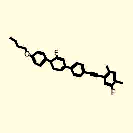 CCCCOc1ccc(C2CC=C(c3ccc(C#Cc4cc(F)c(C)cc4C)cc3)C=C2F)cc1